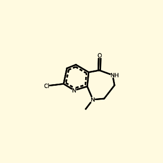 CN1CCNC(=O)c2ccc(Cl)nc21